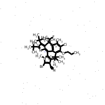 CCCOc1c(Cl)c(C)c(CC(C)F)c(/C(=C2/N=C(C(C)(C)C)C(C(C)(C)C)=C2C(C)(C)C)c2c(CC)c(C#N)c(Br)n2C)c1C(C)(C)C